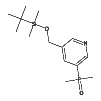 CC(C)(C)[Si](C)(C)OCc1cncc(P(C)(C)=O)c1